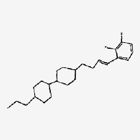 CCCC1CCC(C2CCC(CCC=Cc3cccc(F)c3F)CC2)CC1